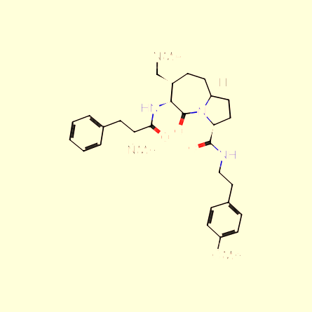 CNC[C@H]1CC[C@H]2CC[C@@H](C(=O)NCCc3ccc(OC)cc3)N2C(=O)[C@H]1NC(=O)[C@@H](Cc1ccccc1)NC